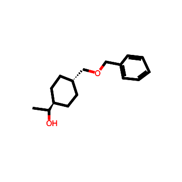 CC(O)[C@H]1CC[C@H](COCc2ccccc2)CC1